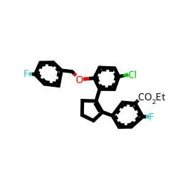 CCOC(=O)c1cc(C2=C(c3cc(Cl)ccc3OCc3ccc(F)cc3)CCC2)ccc1F